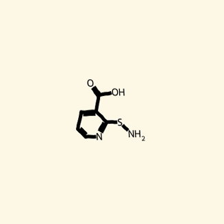 NSc1ncccc1C(=O)O